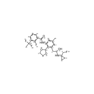 Cc1nc(CC(O)NC2(CF)CC2)c(C2OCCO2)c(NC(=O)c2cccc(C(C)(F)F)c2F)n1